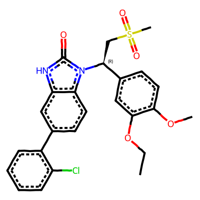 CCOc1cc([C@H](CS(C)(=O)=O)n2c(=O)[nH]c3cc(-c4ccccc4Cl)ccc32)ccc1OC